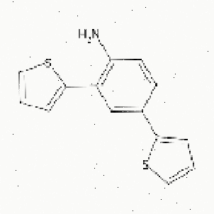 Nc1ccc(-c2cccs2)cc1-c1cccs1